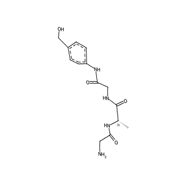 C[C@H](NC(=O)CN)C(=O)NCC(=O)Nc1ccc(CO)cc1